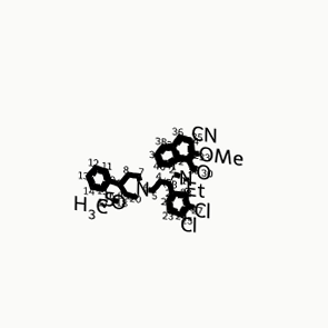 CCN(C[C@@H](CCN1CCC(c2ccccc2[S+](C)[O-])CC1)c1ccc(Cl)c(Cl)c1)C(=O)c1c(OC)c(C#N)cc2ccccc12